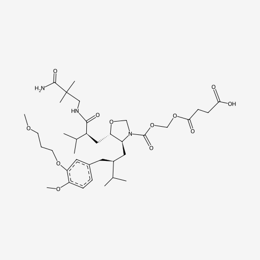 COCCCOc1cc(C[C@@H](C[C@H]2[C@H](C[C@H](C(=O)NCC(C)(C)C(N)=O)C(C)C)OCN2C(=O)OCOC(=O)CCC(=O)O)C(C)C)ccc1OC